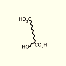 O=C(O)CCCCCCCCCC(CCO)C(=O)O